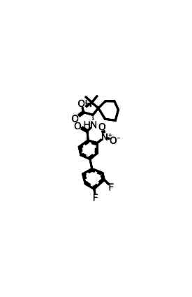 CC(C)(C)C1([C@H](NC(=O)c2ccc(-c3ccc(F)c(F)c3)cc2[N+](=O)[O-])C(=O)O)CCCCC1